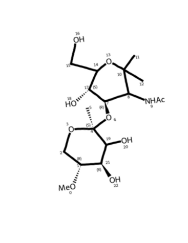 CO[C@@H]1CO[C@@](C)(O[C@@H]2C(NC(C)=O)C(C)(C)OC(CO)[C@H]2O)C(O)[C@H]1O